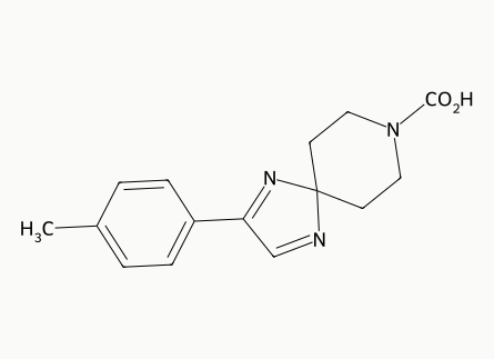 Cc1ccc(C2=NC3(CCN(C(=O)O)CC3)N=C2)cc1